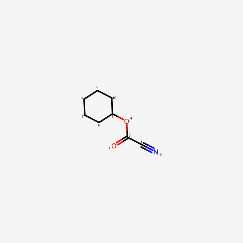 N#CC(=O)OC1CCCCC1